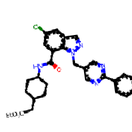 CCOC(=O)CC1CCC(NC(=O)c2cc(Cl)cc3cnn(Cc4cnc(-c5ccccc5)nc4)c23)CC1